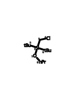 CCCO[Si](CCl)(C(C)(C)C)C(C)(C)C